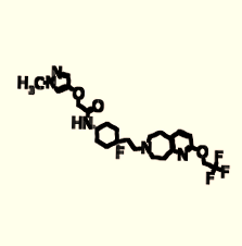 Cn1cc(OCC(=O)N[C@H]2CC[C@](F)(CCN3CCc4ccc(OCC(F)(F)F)nc4CC3)CC2)cn1